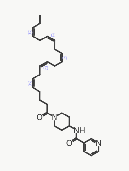 CC/C=C\C/C=C\C/C=C\C/C=C\C/C=C\CCCC(=O)N1CCC(NC(=O)c2cccnc2)CC1